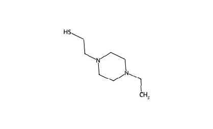 CCN1CCN(CCS)CC1